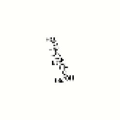 CCC(CC)(c1ccc(BOC(C)(C)C(C)(C)O)c(C)c1)c1ccc(OCC(O)C(C)(C)C)c(C)c1